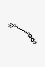 O=C1OCC(OCCCCCCCCCCCOc2ccc(-c3ccc(O)c(F)c3)cc2)CO1